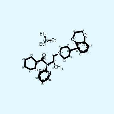 CCN(CC)CC.C[C@H](CN1CCC(c2cccc3c2OCCO3)CC1)N(C(=O)C1CCCCC1)c1ccccn1